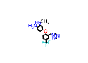 CNc1cc(Oc2ccc(C(F)(F)F)cc2Cn2cncn2)ccc1N